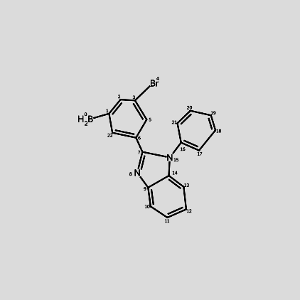 Bc1cc(Br)cc(-c2nc3ccccc3n2-c2ccccc2)c1